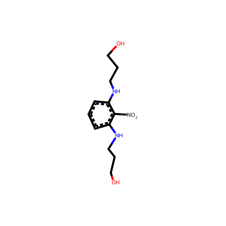 O=[N+]([O-])c1c(NCCCO)cccc1NCCCO